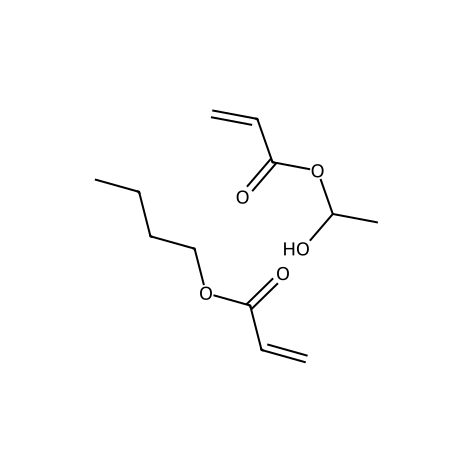 C=CC(=O)OC(C)O.C=CC(=O)OCCCC